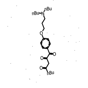 CCCCC(=O)CC(=O)C(=O)c1ccc(OCCCN(CCCC)CCCC)cc1